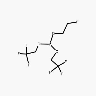 FCCOP(OCC(F)(F)F)OCC(F)(F)F